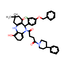 CC1(C)CC(=O)C2=C(C1)NC1=C(O)CCC=C1N(C(=O)CCC(=O)N1CCC(c3ccccc3)CC1)C2c1ccc(OCc2ccccc2)cc1Cl